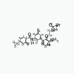 Cc1c(NC(=O)c2ccc(C3CC3)cc2F)cc(F)cc1-c1ncnc(N)c1OCCNC(=O)C(C)C